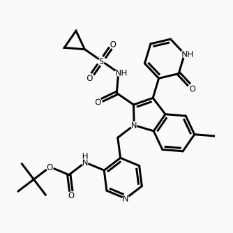 Cc1ccc2c(c1)c(-c1ccc[nH]c1=O)c(C(=O)NS(=O)(=O)C1CC1)n2Cc1ccncc1NC(=O)OC(C)(C)C